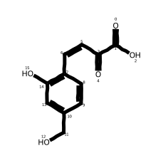 O=C(O)C(=O)/C=C\c1ccc(CO)cc1O